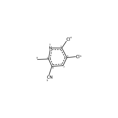 Cc1nc(Cl)c(Cl)cc1C#N